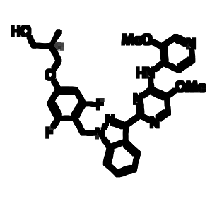 COc1cnccc1Nc1nc(-c2nn(Cc3c(F)cc(OC[C@H](C)CO)cc3F)c3ccccc23)ncc1OC